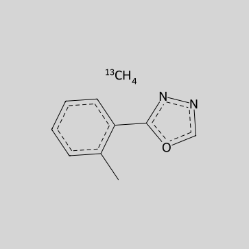 Cc1ccccc1-c1nnco1.[13CH4]